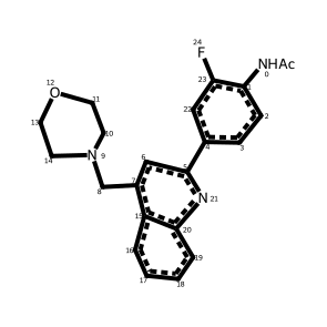 CC(=O)Nc1ccc(-c2cc(CN3CCOCC3)c3ccccc3n2)cc1F